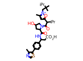 Cc1ncsc1-c1ccc(C(CC(=O)O)NC(=O)C2CC(O)CN2C(=O)C(c2cc(C)[n+](CC(C)(C)C(C)C)o2)C(C)C)cc1